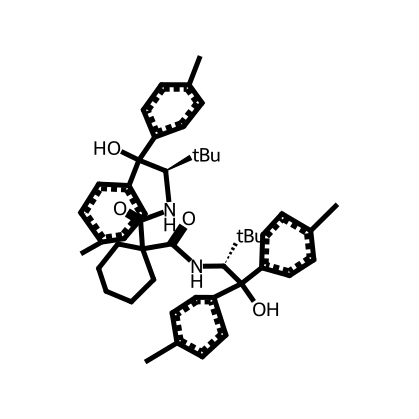 Cc1ccc(C(O)(c2ccc(C)cc2)[C@H](NC(=O)C2(C(=O)N[C@H](C(C)(C)C)C(O)(c3ccc(C)cc3)c3ccc(C)cc3)CCCCC2)C(C)(C)C)cc1